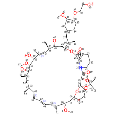 CO[C@H]1C[C@@H]2CC[C@@H](C)[C@@](OC(C)(C)C)(O2)C(=O)C(=O)N2CCCC[C@H]2C(=O)O[C@H]([C@H](C)C[C@@H]2CC[C@@H](OCCO)[C@H](OC)C2)CC(=O)[C@H](C)/C=C(\C)[C@@H](O)[C@@H](OC)C(=O)[C@H](C)C[C@H](C)/C=C/C=C/C=C/1C